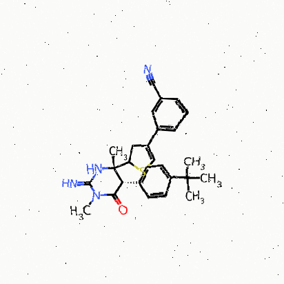 CN1C(=N)N[C@](C)(C2CC(c3cccc(C#N)c3)=CS2)[C@H](c2ccc(C(C)(C)C)cc2)C1=O